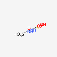 O=C(NCCCSOOO)NCCCS(=O)(=O)O